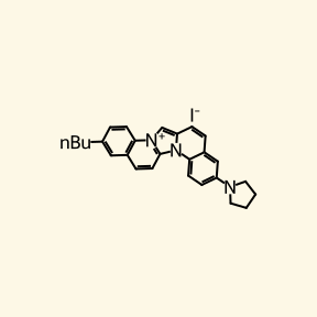 CCCCc1ccc2c(ccc3n4c(ccc5cc(N6CCCC6)ccc54)c[n+]23)c1.[I-]